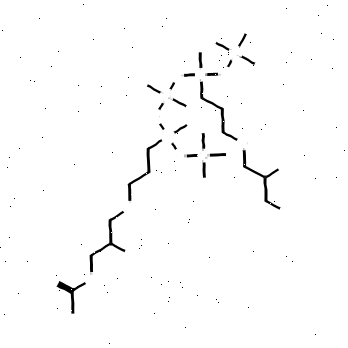 CC(=O)OCC(O)COCCC[Si](C)(O[Si](C)(C)C)O[Si](C)(C)O[Si](C)(CCCOCC(O)CO)O[Si](C)(C)C